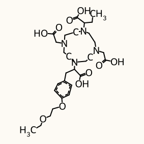 CCOCCOc1ccc(CC(C(=O)O)N2CCN(CC(=O)O)CCN(C(CC)C(=O)O)CCN(CC(=O)O)CC2)cc1